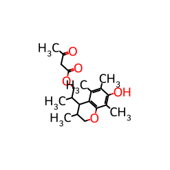 CC(=O)CC(=O)OCC(C)C1c2c(C)c(C)c(O)c(C)c2OCC1C